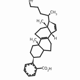 CC(C)CCC[C@@H](C)[C@H]1C=C[C@@H]2C3=C(CC[C@@]21C)[C@@]1(C)CC[C@H](c2ccccc2C(=O)O)CC1CC3